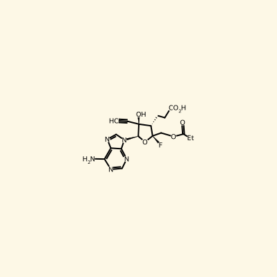 C#C[C@@]1(O)[C@H](n2cnc3c(N)ncnc32)O[C@@](F)(COC(=O)CC)[C@H]1CCC(=O)O